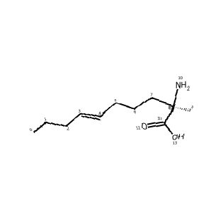 CCCC=CCCC[C@@](C)(N)C(=O)O